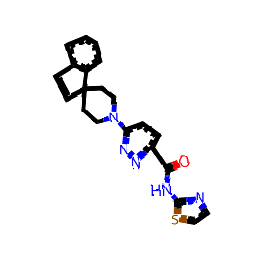 O=C(Nc1nccs1)c1ccc(N2CCC3(C=Cc4ccccc43)CC2)nn1